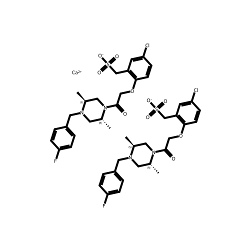 C[C@@H]1CN(Cc2ccc(F)cc2)[C@@H](C)CN1C(=O)COc1ccc(Cl)cc1CS(=O)(=O)[O-].C[C@@H]1CN(Cc2ccc(F)cc2)[C@@H](C)CN1C(=O)COc1ccc(Cl)cc1CS(=O)(=O)[O-].[Ca+2]